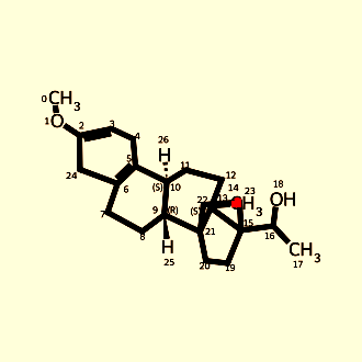 COC1=CCC2=C(CC[C@@H]3[C@@H]2CC[C@]2(C)C4(C(C)O)CCC32CC4)C1